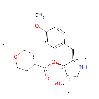 COc1ccc(C[C@H]2NC[C@H](O)[C@H]2OC(=O)C2CCOCC2)cc1